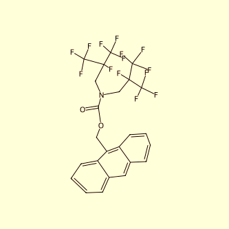 O=C(OCc1c2ccccc2cc2ccccc12)N(CC(F)(C(F)(F)F)C(F)(F)F)CC(F)(C(F)(F)F)C(F)(F)F